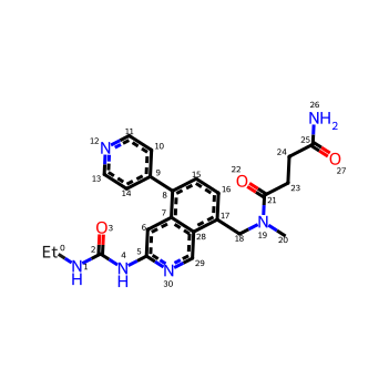 CCNC(=O)Nc1cc2c(-c3ccncc3)ccc(CN(C)C(=O)CCC(N)=O)c2cn1